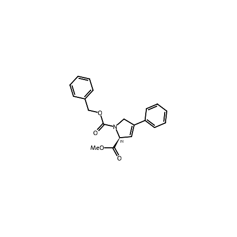 COC(=O)[C@@H]1C=C(c2ccccc2)CN1C(=O)OCc1ccccc1